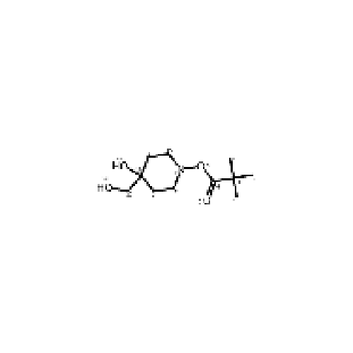 CC(C)(C)C(=O)ON1CCC(O)(CO)CC1